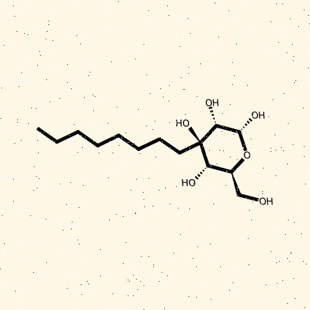 CCCCCCCC[C@]1(O)[C@H](O)[C@H](O)O[C@@H](CO)[C@@H]1O